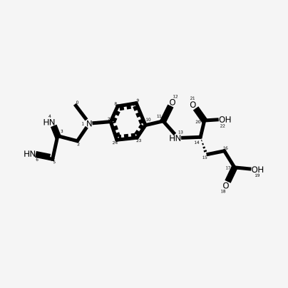 CN(CC(=N)C=N)c1ccc(C(=O)N[C@@H](CCC(=O)O)C(=O)O)cc1